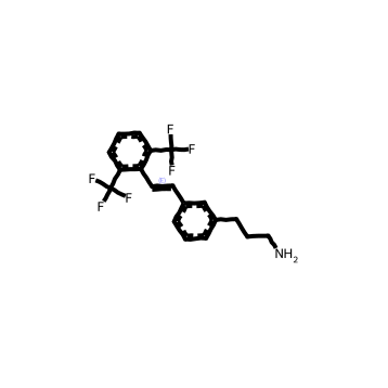 NCCCc1cccc(/C=C/c2c(C(F)(F)F)cccc2C(F)(F)F)c1